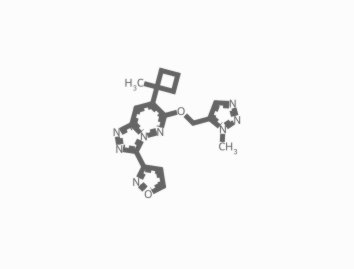 Cn1nncc1COc1nn2c(-c3ccon3)nnc2cc1C1(C)CCC1